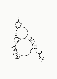 CC[C@@H]1CC/C=C/[C@H](OCC(=O)OC(C)(C)C)[C@@H]2CC[C@H]2CN2CCCCc3cc(Cl)ccc3COc3ccc(cc32)C(=O)NS1(=O)=O